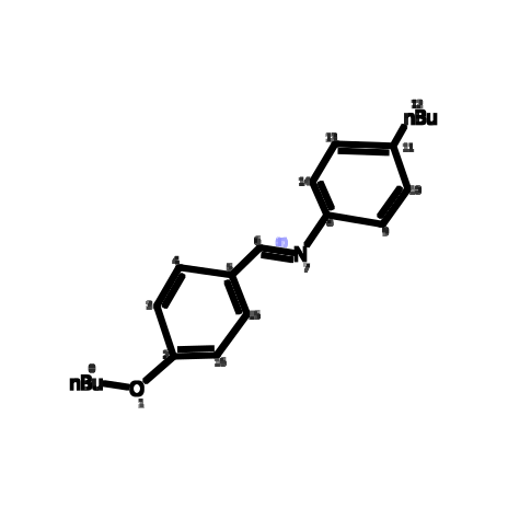 CCCCOc1ccc(/C=N/c2ccc(CCCC)cc2)cc1